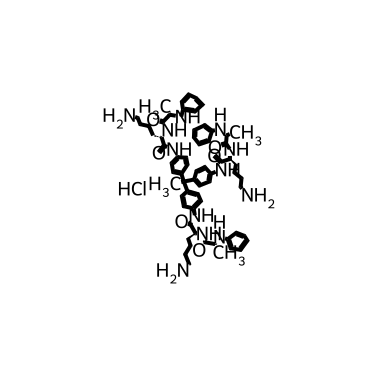 CC(Nc1ccccc1)C(=O)N[C@@H](CCCCN)C(=O)Nc1ccc(C(C)(c2ccc(NC(=O)[C@H](CCCCN)NC(=O)C(C)Nc3ccccc3)cc2)c2ccc(NC(=O)[C@H](CCCCN)NC(=O)C(C)Nc3ccccc3)cc2)cc1.Cl